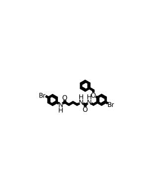 O=C(CCCNC(=O)NCc1cc(Br)ccc1OCc1ccccc1)Nc1ccc(Br)cc1